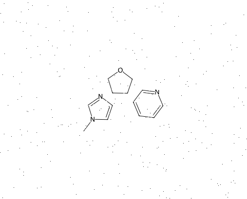 C1CCOC1.Cn1ccnc1.c1ccncc1